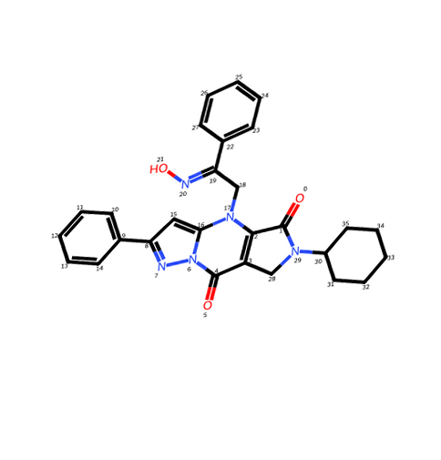 O=C1c2c(c(=O)n3nc(-c4ccccc4)cc3n2CC(=NO)c2ccccc2)CN1C1CCCCC1